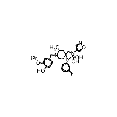 CC(C)Oc1cc(CN2CC[C@@]3(C[C@@H]2C)CN(c2cnoc2)S(O)(O)N3c2cccc(F)c2)ccc1O